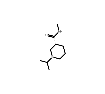 CNC(=O)[C@@H]1CCCN(C(C)C)C1